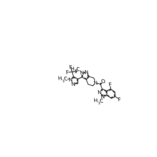 Cn1nc2c(c1-c1cnn(C)c1C(F)(F)F)CCN(C(=O)c1nn(C)c3cc(F)cc(F)c13)C2